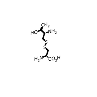 C=C(O)[C@@H](N)CSSC[C@H](N)C(=O)O